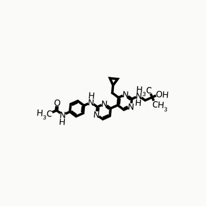 CC(=O)Nc1ccc(Nc2nccc(-c3cnc(NCC(C)(C)O)nc3CC3CC3)n2)cc1